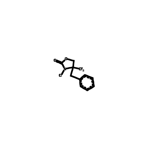 O=C1OCC(Cc2ccccc2)(C(F)(F)F)N1Cl